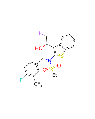 CCS(=O)(=O)N(Cc1ccc(F)c(C(F)(F)F)c1)c1sc2ccccc2c1C(O)CI